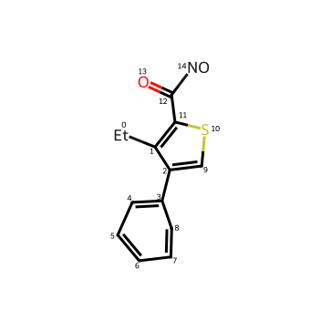 CCc1c(-c2ccccc2)csc1C(=O)N=O